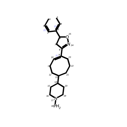 C/C=C\C(=C/C)C1CC(/C2=C/CCC(C3CCN(P)CC3)CCC2)=NO1